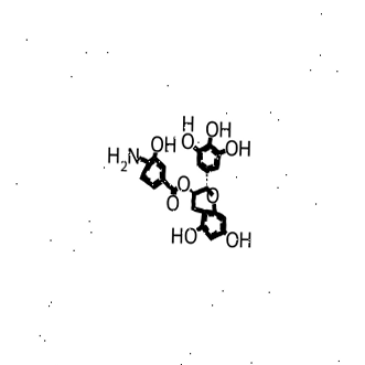 Nc1ccc(C(=O)O[C@@H]2Cc3c(O)cc(O)cc3O[C@H]2c2cc(O)c(O)c(O)c2)cc1O